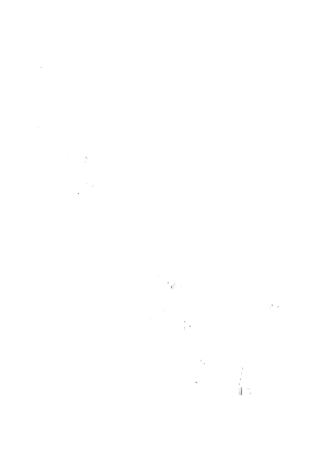 COc1ccc(C(C)C)c(N2C(=O)CS/C2=N\C(=O)NCCCc2cccc(-c3ncn(-c4ccc(OC(F)(F)F)cc4)n3)c2)c1